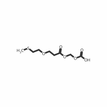 CSCCOCCC(=O)OCOC(=O)O